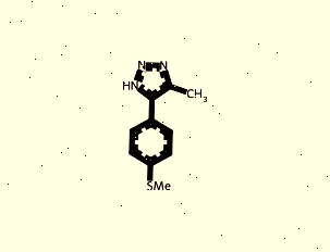 CSc1ccc(-c2[nH]nnc2C)cc1